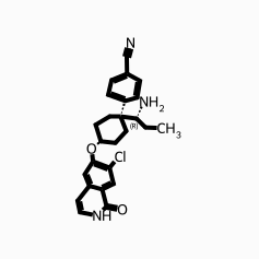 CC[C@@H](N)[C@]1(c2ccc(C#N)cc2)CC[C@@H](Oc2cc3cc[nH]c(=O)c3cc2Cl)CC1